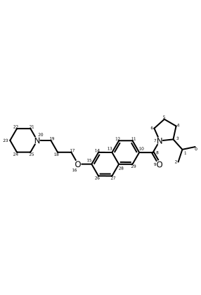 CC(C)C1CCCN1C(=O)c1ccc2cc(OCCCN3CCCCC3)ccc2c1